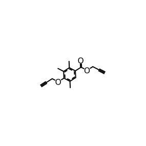 C#CCOC(=O)c1cc(C)c(OCC#C)c(C)c1C